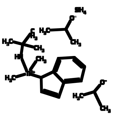 CC(C)(C)[NH][Ti+2]([CH3])([CH3])[CH]1C=Cc2ccccc21.CC(C)[O-].CC(C)[O-].[SiH4]